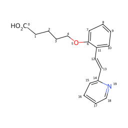 O=C(O)CCCCOc1ccccc1C=Cc1ccccn1